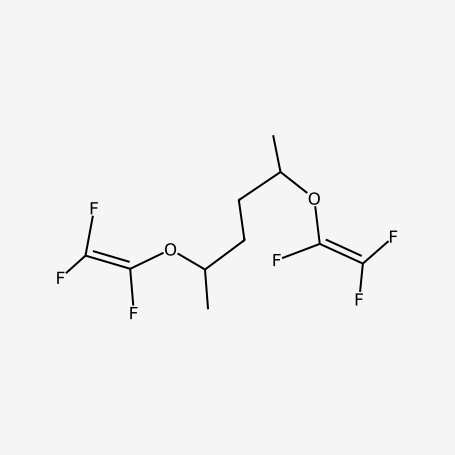 CC(CCC(C)OC(F)=C(F)F)OC(F)=C(F)F